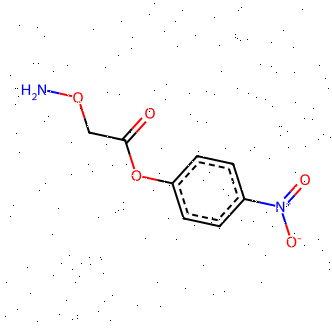 NOCC(=O)Oc1ccc([N+](=O)[O-])cc1